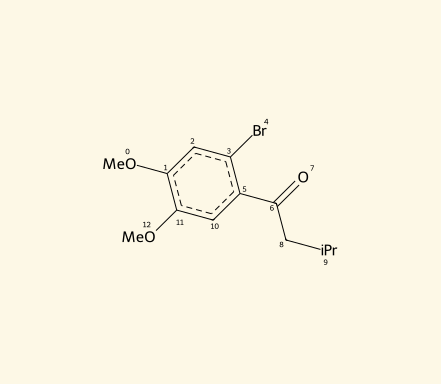 COc1cc(Br)c(C(=O)CC(C)C)cc1OC